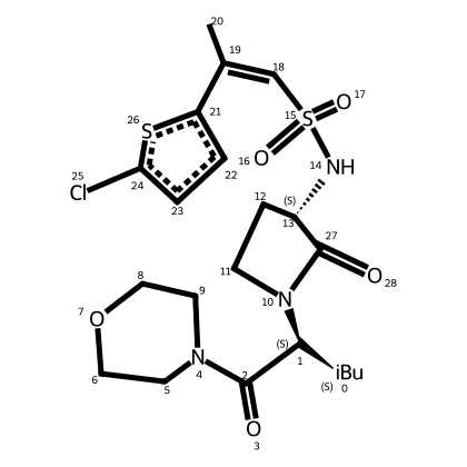 CC[C@H](C)[C@@H](C(=O)N1CCOCC1)N1CC[C@H](NS(=O)(=O)C=C(C)c2ccc(Cl)s2)C1=O